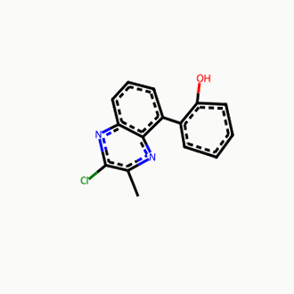 Cc1nc2c(-c3ccccc3O)cccc2nc1Cl